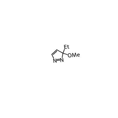 CCC1(OC)C=CN=N1